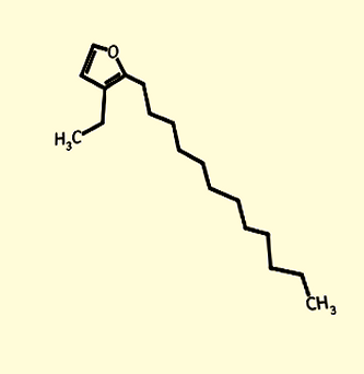 CCCCCCCCCCCCc1occc1CC